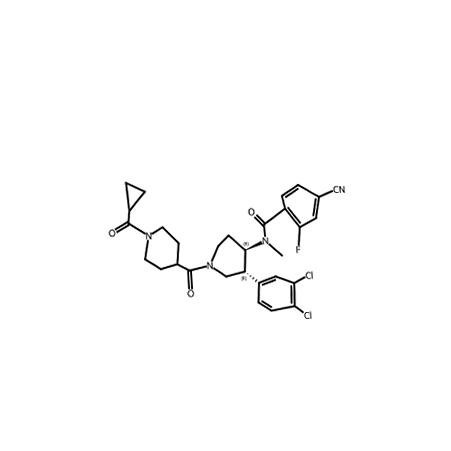 CN(C(=O)c1ccc(C#N)cc1F)[C@@H]1CCN(C(=O)C2CCN(C(=O)C3CC3)CC2)C[C@H]1c1ccc(Cl)c(Cl)c1